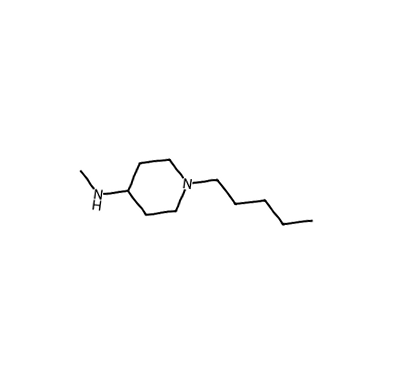 CCCCCN1CCC(NC)CC1